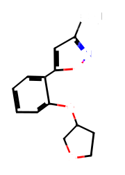 CCOC(=O)c1cc(-c2ccccc2OC2CCOC2)on1